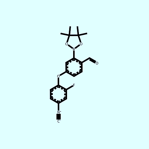 [C-]#[N+]c1ccc(Oc2ccc(C=O)c(B3OC(C)(C)C(C)(C)O3)c2)c(F)c1